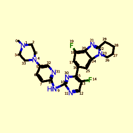 CN1CCN(c2ccc(Nc3ncc(F)c(-c4cc(F)c5nc6n(c5c4)CCCC6)n3)nc2)CC1